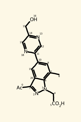 CC(=O)c1nn(CC(=O)O)c2c(C)cc(-c3cnc(CO)cn3)cc12